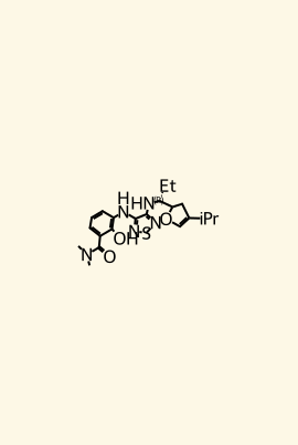 CC[C@@H](Nc1nsnc1Nc1cccc(C(=O)N(C)C)c1O)C1CC(C(C)C)=CO1